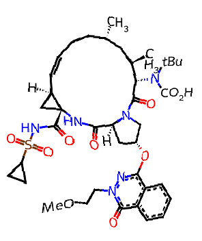 COCCn1nc(O[C@@H]2C[C@H]3C(=O)N[C@]4(C(=O)NS(=O)(=O)C5CC5)C[C@H]4C=CCC[C@H](C)C[C@@H](C)[C@H](N(C(=O)O)C(C)(C)C)C(=O)N3C2)c2ccccc2c1=O